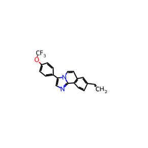 C=Cc1ccc2c(ccn3c(-c4ccc(OC(F)(F)F)cc4)cnc23)c1